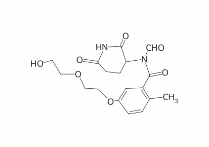 Cc1ccc(OCCOCCO)cc1C(=O)N(C=O)C1CCC(=O)NC1=O